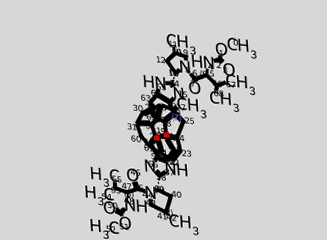 COC(=O)N[C@H](C(=O)N1C[C@H](C)C[C@H]1c1nc2cc(-c3cc4ccc3/C=C(/C)c3ccc(c(-c5ccc6[nH]c([C@@H]7C[C@@H](C)CN7C(=O)[C@@H](NC(=O)OC)C(C)C)nc6c5)c3)CC4)ccc2[nH]1)C(C)C